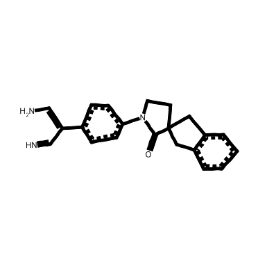 N=C/C(=C\N)c1ccc(N2CCC3(Cc4ccccc4C3)C2=O)cc1